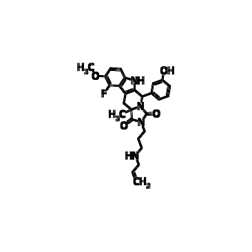 C=CCNCCCN1C(=O)N2C(c3cccc(O)c3)c3[nH]c4ccc(OC)c(F)c4c3CC2(C)C1=O